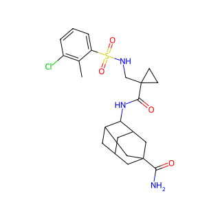 Cc1c(Cl)cccc1S(=O)(=O)NCC1(C(=O)NC2C3CC4CC2CC(C(N)=O)(C4)C3)CC1